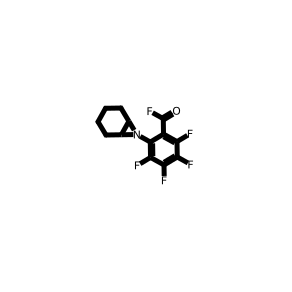 O=C(F)c1c(F)c(F)c(F)c(F)c1N1C2CCCCC21